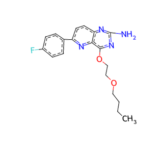 CCCCOCCOc1nc(N)nc2ccc(-c3ccc(F)cc3)nc12